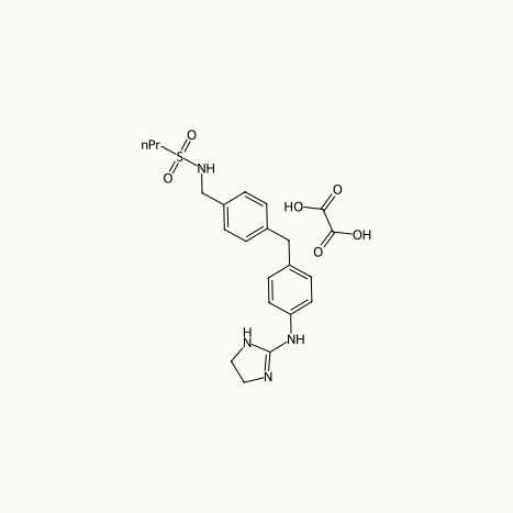 CCCS(=O)(=O)NCc1ccc(Cc2ccc(NC3=NCCN3)cc2)cc1.O=C(O)C(=O)O